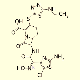 CCNc1nnc(SC2=C(C(=O)O)N3C(=O)C(NC(=O)/C(=N\O)c4nc(N)sc4Cl)C3CC2)s1